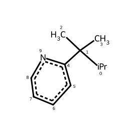 CC(C)C(C)(C)c1ccccn1